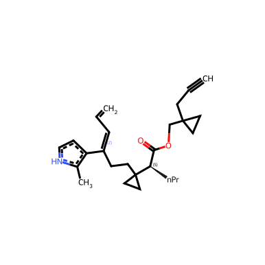 C#CCC1(COC(=O)[C@@H](CCC)C2(CC/C(=C/C=C)c3cc[nH]c3C)CC2)CC1